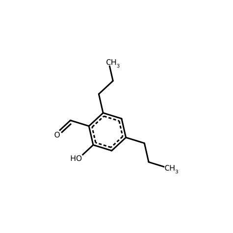 CCCc1cc(O)c(C=O)c(CCC)c1